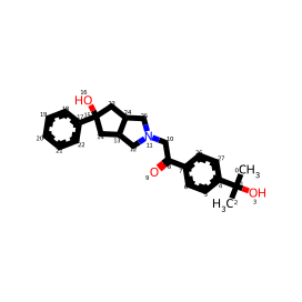 CC(C)(O)c1ccc(C(=O)CN2CC3CC(O)(c4ccccc4)CC3C2)cc1